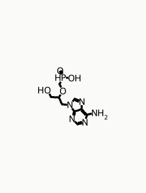 Nc1ncnc2c1ncn2CC(CO)OC[PH](=O)O